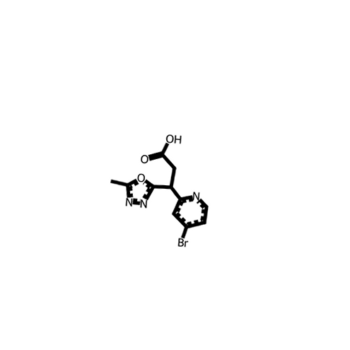 Cc1nnc(C(CC(=O)O)c2cc(Br)ccn2)o1